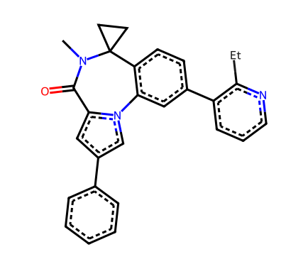 CCc1ncccc1-c1ccc2c(c1)-n1cc(-c3ccccc3)cc1C(=O)N(C)C21CC1